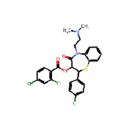 CN(C)CCN1C(=O)C(OC(=O)c2ccc(Cl)cc2Cl)C(c2ccc(Cl)cc2)Sc2ccccc21